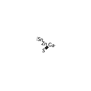 [S]=[Ga].[Sn].[Zn]